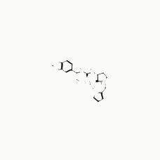 CCOC(=O)C[C@H](NC(=O)N[C@H]1CCN(Cc2cccs2)C1=O)c1ccc2c(c1)OCO2